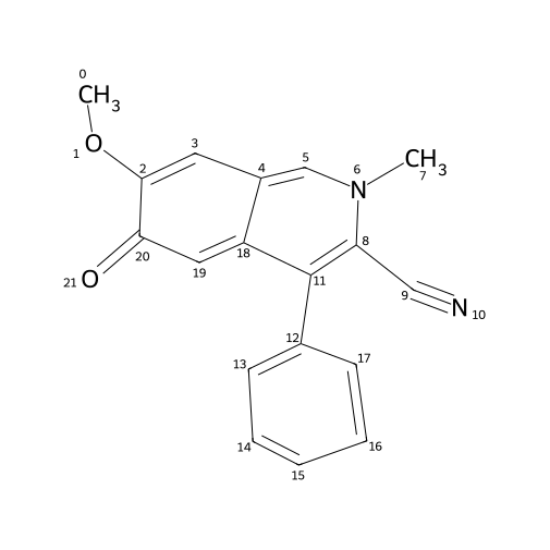 COc1cc2cn(C)c(C#N)c(-c3ccccc3)c-2cc1=O